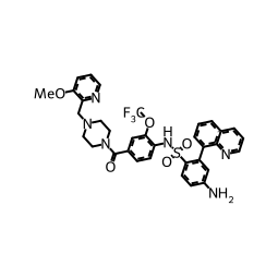 COc1cccnc1CN1CCN(C(=O)c2ccc(NS(=O)(=O)c3ccc(N)cc3-c3cccc4cccnc34)c(OC(F)(F)F)c2)CC1